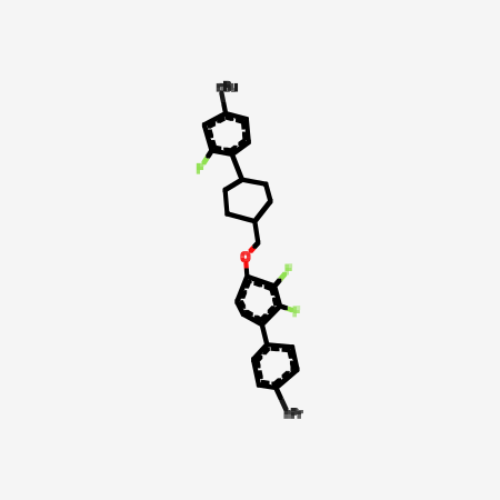 CCCCc1ccc(C2CCC(COc3ccc(-c4ccc(CCC)cc4)c(F)c3F)CC2)c(F)c1